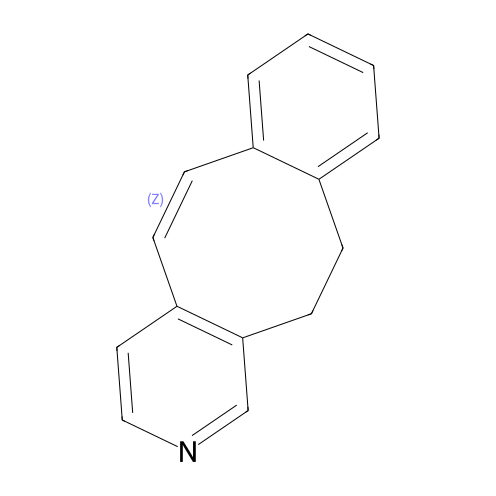 C1=C\c2ccncc2CCc2ccccc2/1